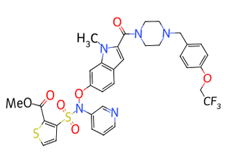 COC(=O)c1sccc1S(=O)(=O)N(Oc1ccc2cc(C(=O)N3CCN(Cc4ccc(OCC(F)(F)F)cc4)CC3)n(C)c2c1)c1cccnc1